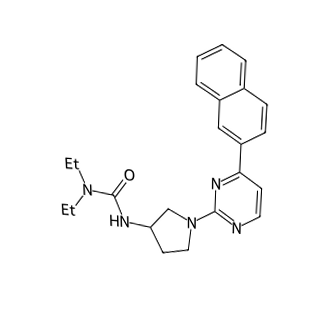 CCN(CC)C(=O)NC1CCN(c2nccc(-c3ccc4ccccc4c3)n2)C1